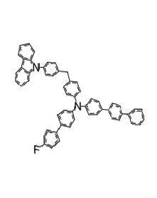 Fc1ccc(-c2ccc(N(c3ccc(Cc4ccc(-n5c6ccccc6c6ccccc65)cc4)cc3)c3ccc(-c4ccc(-c5ccccc5)cc4)cc3)cc2)cc1